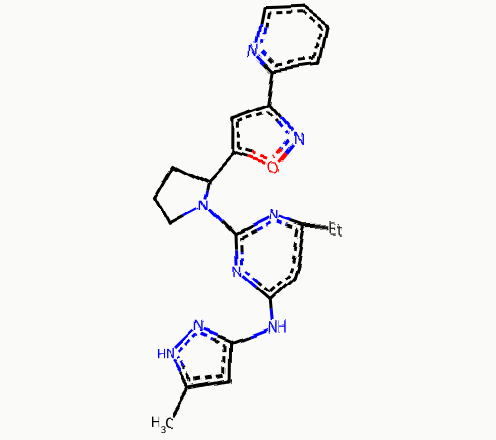 CCc1cc(Nc2cc(C)[nH]n2)nc(N2CCCC2c2cc(-c3ccccn3)no2)n1